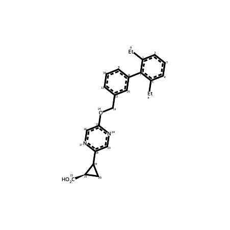 CCc1cccc(CC)c1-c1cccc(COc2cnc(C3C[C@H]3C(=O)O)cn2)c1